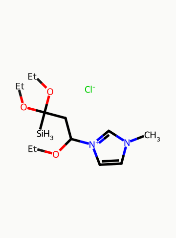 CCOC(CC([SiH3])(OCC)OCC)[n+]1ccn(C)c1.[Cl-]